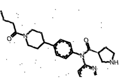 CCCC(=O)N1CCC(c2ccc(N(C(=O)[C@H]3CCNC3)c3cccnn3)cc2)CC1